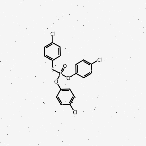 O=P(Oc1ccc(Cl)cc1)(Oc1ccc(Cl)cc1)Sc1ccc(Cl)cc1